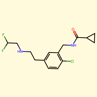 O=C(NCc1cc(CCNCC(F)F)ccc1Cl)C1CC1